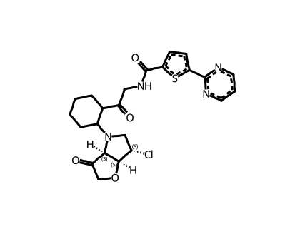 O=C(NCC(=O)C1CCCCC1N1C[C@H](Cl)[C@H]2OCC(=O)[C@H]21)c1ccc(-c2ncccn2)s1